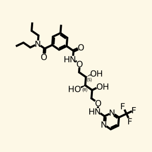 CCCN(CCC)C(=O)c1cc(C)cc(C(=O)NOC[C@H](O)[C@H](O)C(O)CONc2nccc(C(F)(F)F)n2)c1